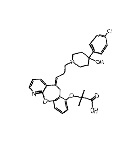 CC(C)(Oc1cccc2c1CC(=CCCN1CCC(O)(c3ccc(Cl)cc3)CC1)c1cccnc1O2)C(=O)O